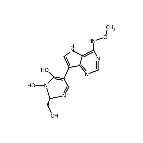 CONc1ncnc2c(C3=C(O)N(O)[C@H](CO)N=C3)c[nH]c12